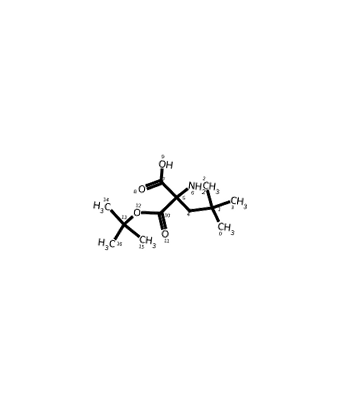 CC(C)(C)CC(N)(C(=O)O)C(=O)OC(C)(C)C